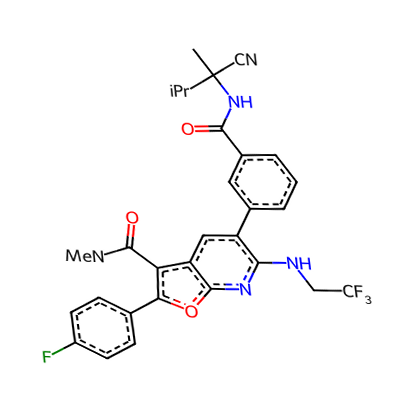 CNC(=O)c1c(-c2ccc(F)cc2)oc2nc(NCC(F)(F)F)c(-c3cccc(C(=O)NC(C)(C#N)C(C)C)c3)cc12